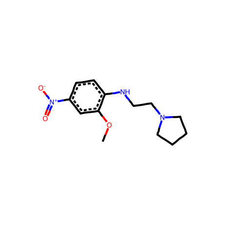 COc1cc([N+](=O)[O-])ccc1NCCN1CCCC1